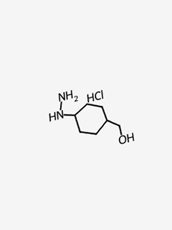 Cl.NNC1CCC(CO)CC1